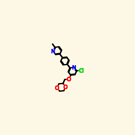 Cc1ccc(-c2ccc(-c3cc(OCC4COCCO4)cc(Cl)n3)cc2)cn1